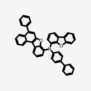 c1ccc(-c2ccc(N(c3cccc4c3oc3ccccc34)c3cccc4c3oc3cc(-c5ccccc5)c5ccccc5c34)cc2)cc1